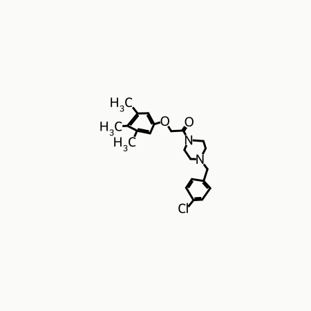 Cc1cc(OCC(=O)N2CCN(Cc3ccc(Cl)cc3)CC2)cc(C)c1C